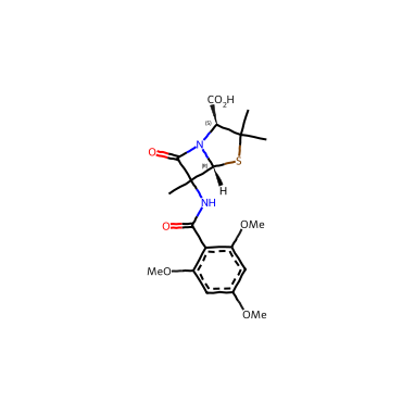 COc1cc(OC)c(C(=O)NC2(C)C(=O)N3[C@@H](C(=O)O)C(C)(C)S[C@@H]32)c(OC)c1